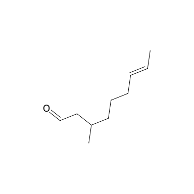 CC=CCCCC(C)CC=O